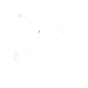 COc1ccc(OCC(F)(F)F)cc1[C@H]1CO[C@]2(CCCN[C@H]2c2ccccc2)C1